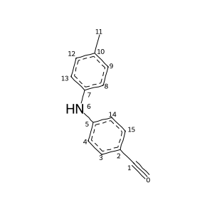 C#Cc1ccc(Nc2ccc(C)cc2)cc1